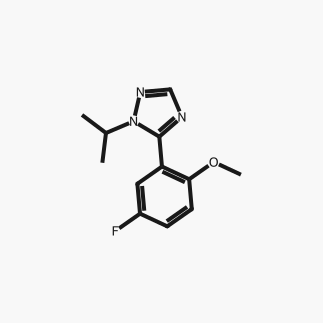 COc1ccc(F)cc1-c1ncnn1C(C)C